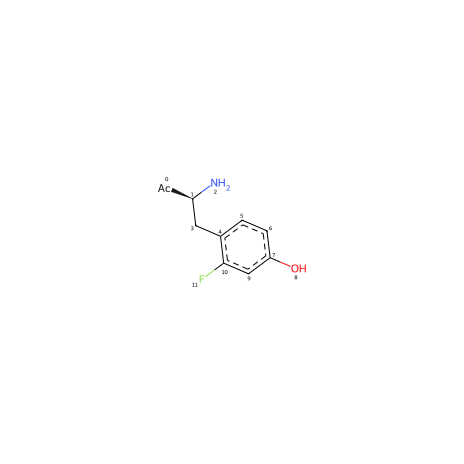 CC(=O)[C@@H](N)Cc1ccc(O)cc1F